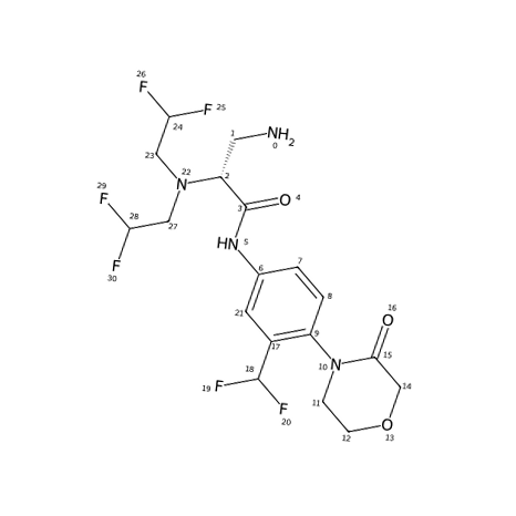 NC[C@H](C(=O)Nc1ccc(N2CCOCC2=O)c(C(F)F)c1)N(CC(F)F)CC(F)F